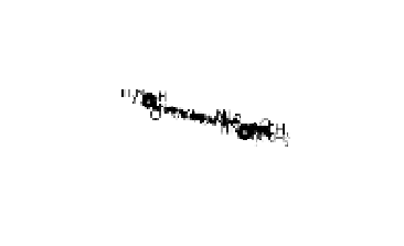 CC(C)(C)C(=O)c1cc2cc(NC(=O)c3cn(CCOCCOCCOCCNC(=O)c4ccc(N)cc4)nn3)ccc2[nH]1